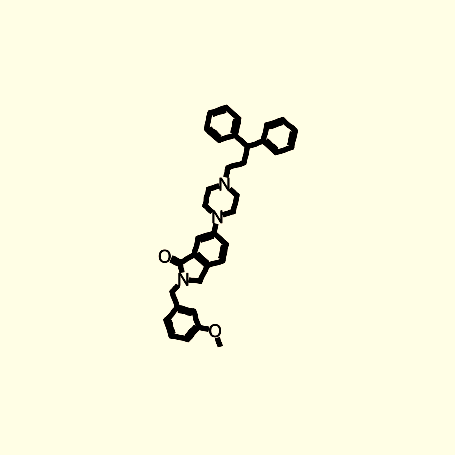 COc1cccc(CN2Cc3ccc(N4CCN(CCC(c5ccccc5)c5ccccc5)CC4)cc3C2=O)c1